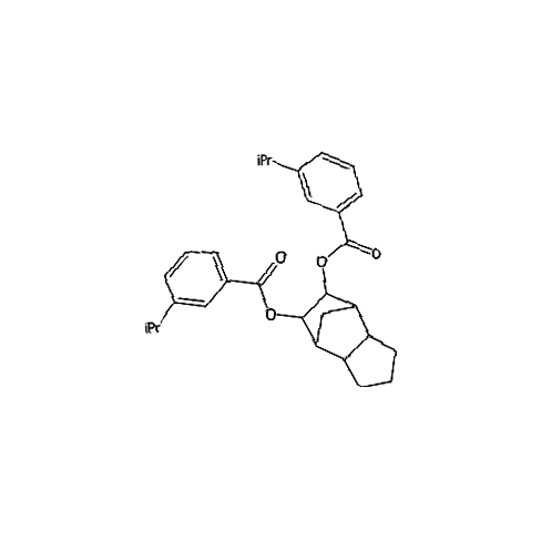 CC(C)c1cccc(C(=O)OC2C3CC(C4CCCC43)C2OC(=O)c2cccc(C(C)C)c2)c1